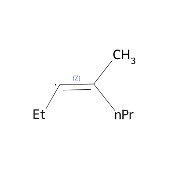 CC/[C]=C(/C)CCC